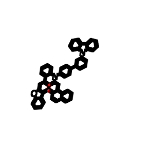 c1cc(-c2ccc(N(c3ccc4ccc5ccccc5c4c3)c3ccccc3-c3ccc4c(c3)oc3ccccc34)cc2)cc(-n2c3ccccc3c3ccccc32)c1